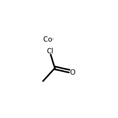 CC(=O)Cl.[Co]